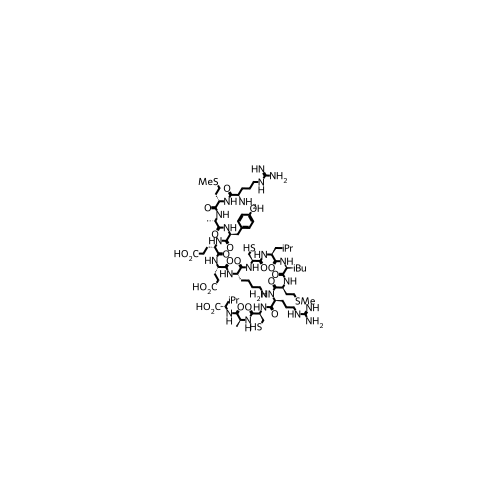 CC[C@H](C)[C@H](NC(=O)[C@H](CC(C)C)NC(=O)[C@H](CS)NC(=O)[C@H](CCCCN)NC(=O)[C@H](CCC(=O)O)NC(=O)[C@H](CCC(=O)O)NC(=O)[C@H](Cc1ccc(O)cc1)NC(=O)[C@H](C)NC(=O)[C@H](CCSC)NC(=O)[C@@H](N)CCCNC(=N)N)C(=O)N[C@@H](CCSC)C(=O)N[C@@H](CCCNC(=N)N)C(=O)N[C@@H](CS)C(=O)N[C@@H](C)C(=O)N[C@H](C(=O)O)C(C)C